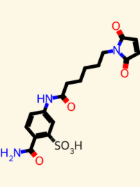 NC(=O)c1ccc(NC(=O)CCCCCN2C(=O)C=CC2=O)cc1S(=O)(=O)O